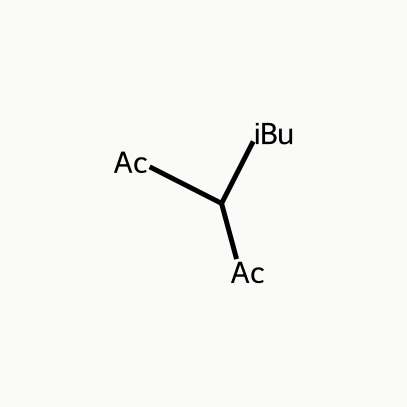 CCC(C)C(C(C)=O)C(C)=O